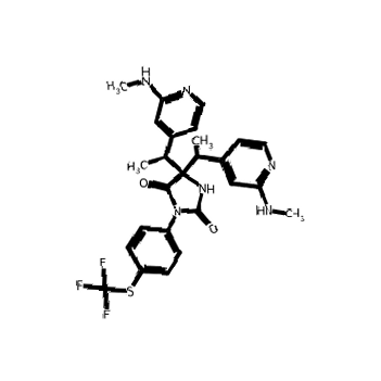 CNc1cc(C(C)C2(C(C)c3ccnc(NC)c3)NC(=O)N(c3ccc(SC(F)(F)F)cc3)C2=O)ccn1